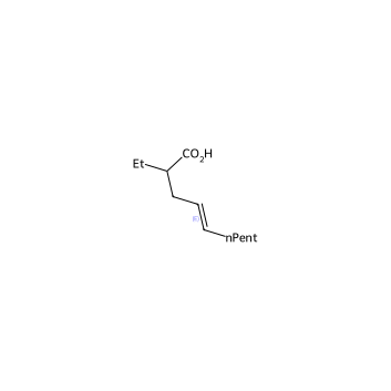 CCCCC/C=C/CC(CC)C(=O)O